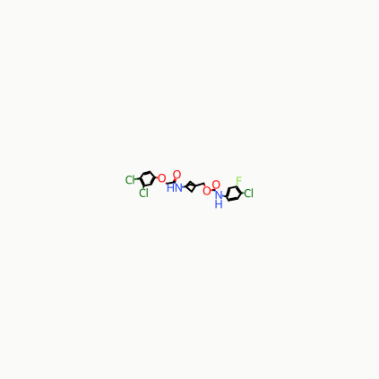 O=C(COc1ccc(Cl)c(Cl)c1)NC12CC(COC(=O)Nc3ccc(Cl)c(F)c3)(C1)C2